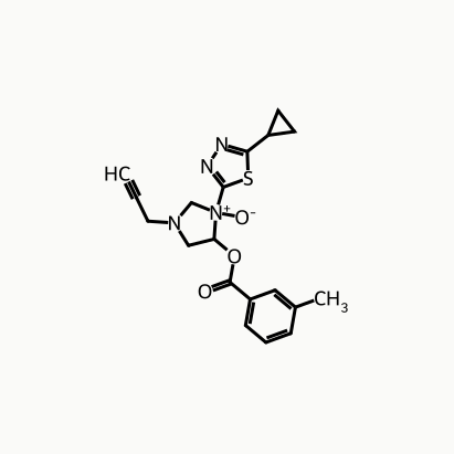 C#CCN1CC(OC(=O)c2cccc(C)c2)[N+]([O-])(c2nnc(C3CC3)s2)C1